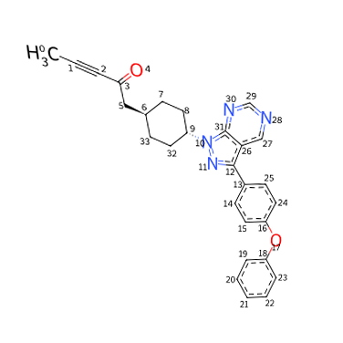 CC#CC(=O)C[C@H]1CC[C@H](n2nc(-c3ccc(Oc4ccccc4)cc3)c3cncnc32)CC1